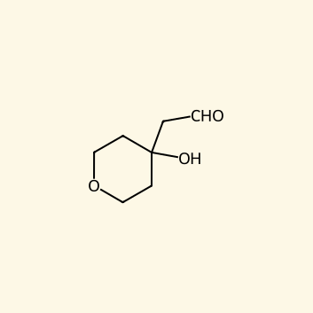 O=CCC1(O)CCOCC1